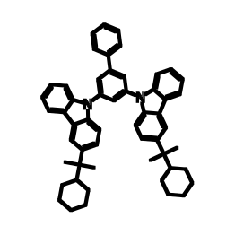 CC(C)(c1ccc2c(c1)c1ccccc1n2-c1cc(-c2ccccc2)cc(-n2c3ccccc3c3cc(C(C)(C)C4CCCCC4)ccc32)c1)C1CCCCC1